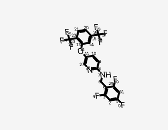 Fc1cc(F)c(CNc2ccc(Oc3cc(C(F)(F)F)ccc3C(F)(F)F)cn2)c(F)c1